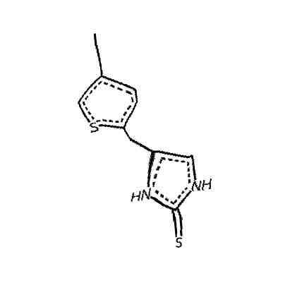 Cc1csc(-c2c[nH]c(=S)[nH]2)c1